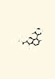 CCCNC(=O)c1ncc2c(-c3cncnc3C)c(F)ccc2c1N